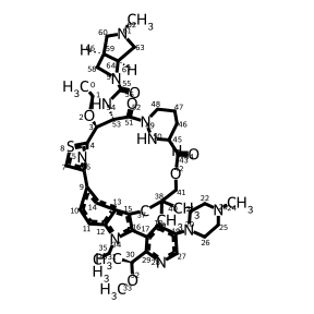 CCO[C@@H]1c2nc(cs2)-c2ccc3c(c2)c(c(-c2cc(N4CCN(C)CC4)cnc2[C@H](C)OC)n3CC)CC(C)(C)COC(=O)[C@@H]2CCCN(N2)C(=O)[C@H]1NC(=O)N1C[C@H]2CN(C)C[C@H]21